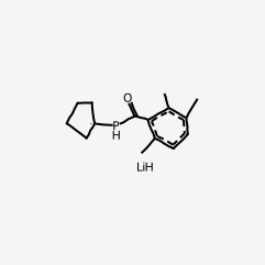 Cc1ccc(C)c(C(=O)P[C]2CCCC2)c1C.[LiH]